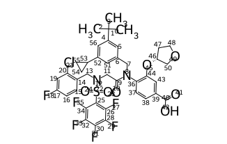 CC(C)(C)c1cc(CN(C(=O)CN(Cc2ccc(F)cc2Cl)S(=O)(=O)c2c(F)c(F)c(F)c(F)c2F)c2ccc(C(=O)O)cc2O[C@@H]2CCOC2)cc(C2CC2)c1